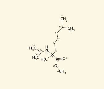 COC(=O)C(C)(CCCCC(C)C)NC(C)C